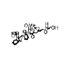 COC(=O)NC(CCC=CC(=O)NCCO)C(=O)Nc1cccn(Cc2nc3ccccc3n2C(=O)OC(C)(C)C)c1=O